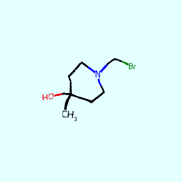 CC1(O)CCN(CBr)CC1